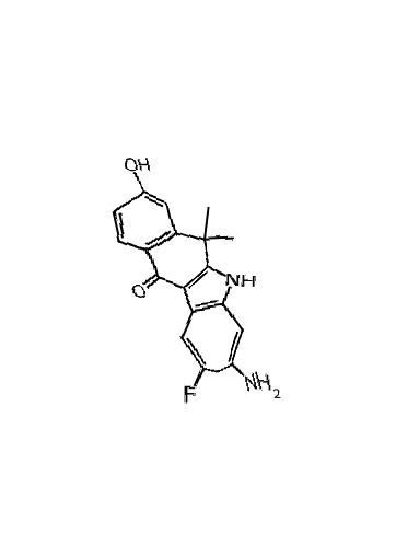 CC1(C)c2cc(O)ccc2C(=O)c2c1[nH]c1cc(N)c(F)cc21